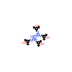 CN(Cc1cc(C(C)(C)C)c(O)c(C(C)(C)C)c1)c1nc(NCNc2nc(N(C)Cc3cc(C(C)(C)C)c(O)c(C(C)(C)C)c3)nc(N(C)Cc3cc(C(C)(C)C)c(O)c(C(C)(C)C)c3)n2)nc(N(C)Cc2cc(C(C)(C)C)c(O)c(C(C)(C)C)c2)n1